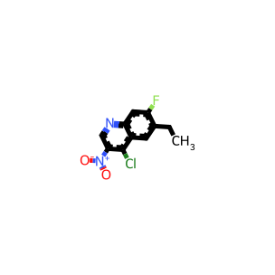 CCc1cc2c(Cl)c([N+](=O)[O-])cnc2cc1F